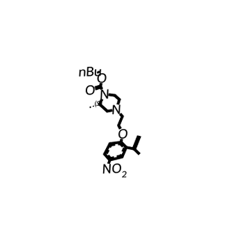 C=C(C)c1cc([N+](=O)[O-])ccc1OCCN1CCN(C(=O)OCCCC)[C@@H](C)C1